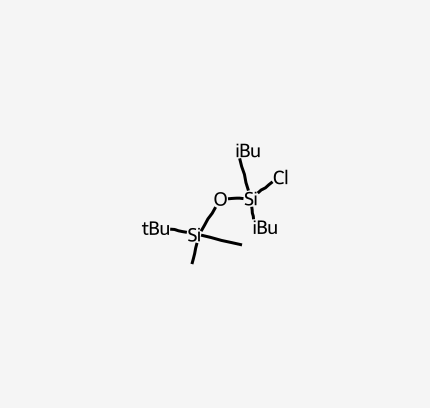 CCC(C)[Si](Cl)(O[Si](C)(C)C(C)(C)C)C(C)CC